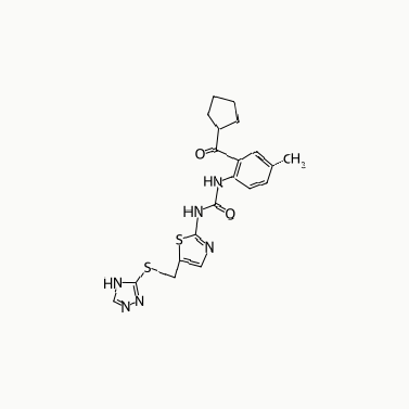 Cc1ccc(NC(=O)Nc2ncc(CSc3nnc[nH]3)s2)c(C(=O)C2CCCC2)c1